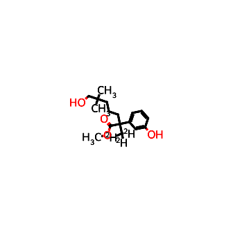 [2H]C([2H])([2H])C(CCCC(C)(C)CO)(C(=O)OC)c1cccc(O)c1